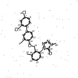 Cc1cc(-c2ccc(Cl)cc2Cl)ccc1OCc1c(C)cccc1-n1nnn(C)c1=O